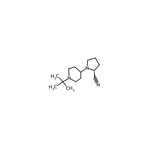 CC(C)(C)N1CCC(N2CCC[C@H]2C#N)CC1